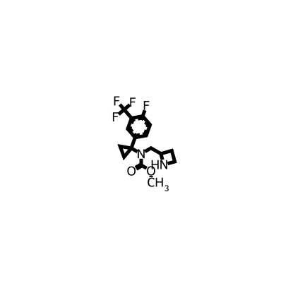 COC(=O)N(CC1CCN1)C1(c2ccc(F)c(C(F)(F)F)c2)CC1